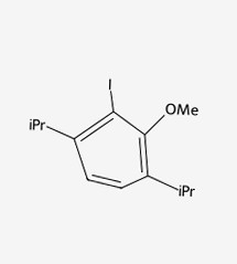 COc1c(C(C)C)ccc(C(C)C)c1I